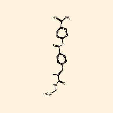 CCOC(=O)CNC(=O)/C(C)=C/c1ccc(C(=O)Oc2ccc(C(=N)N)cc2)cc1